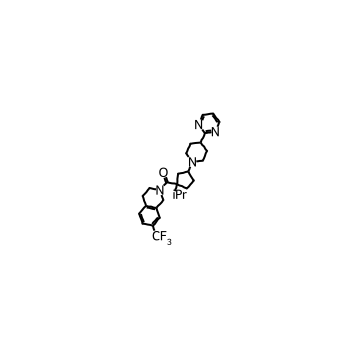 CC(C)C1(C(=O)N2CCc3ccc(C(F)(F)F)cc3C2)CCC(N2CCC(c3ncccn3)CC2)C1